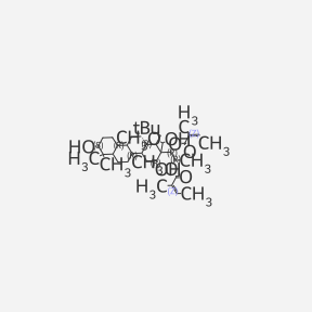 C/C=C(/C)C(=O)O[C@H](C)[C@H](OC(=O)/C(C)=C\C)C12C(O)O[C@@]3(CCC4[C@@]5(C)CC[C@H](O)C(C)(C)C5CC[C@@]4(C)C3C[C@H]1O)C2CC(C)(C)C